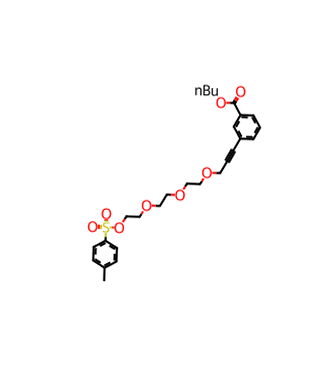 CCCCOC(=O)c1cccc(C#CCOCCOCCOCCOS(=O)(=O)c2ccc(C)cc2)c1